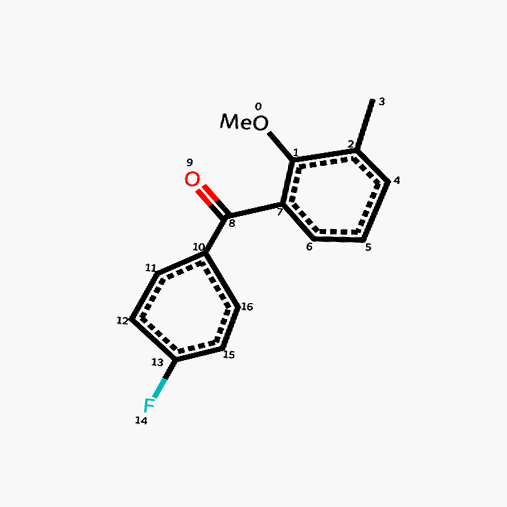 COc1c(C)cccc1C(=O)c1ccc(F)cc1